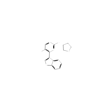 FC(F)(F)c1cnc(N[C@@H]2CCNC2)nc1-c1c[nH]c2ccccc12